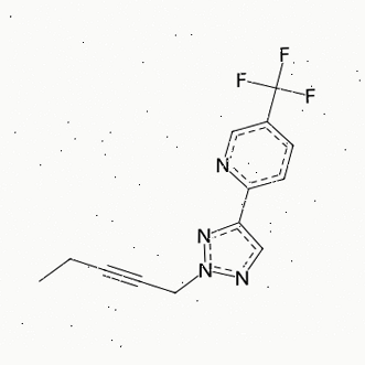 CCC#CCn1ncc(-c2ccc(C(F)(F)F)cn2)n1